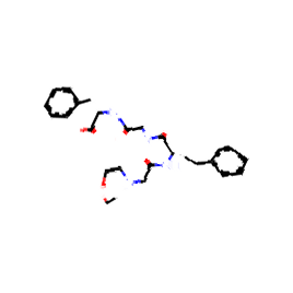 O=C(CNC(=O)[C@H](CCc1ccccc1)NC(=O)CN1CCOCC1)N[C@@H](Cc1ccccc1)C(=O)O